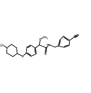 COC(C(=O)NCc1ccc(C#N)cc1)c1ccc(OC2CCN(C)CC2)cc1